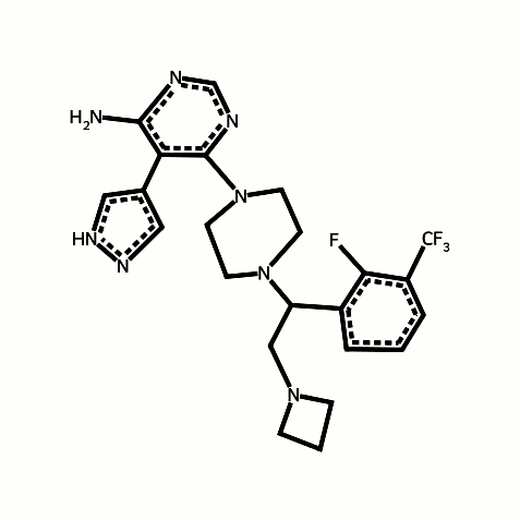 Nc1ncnc(N2CCN(C(CN3CCC3)c3cccc(C(F)(F)F)c3F)CC2)c1-c1cn[nH]c1